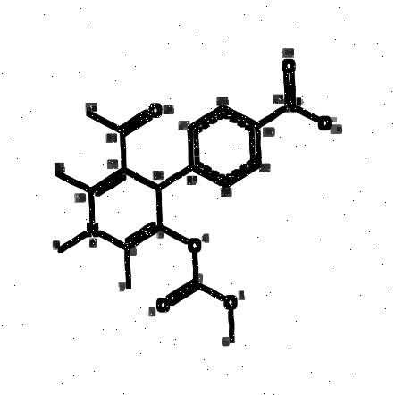 COC(=O)OC1=C(C)N(C)C(C)=C(C(C)=O)C1c1ccc([N+](=O)[O-])cc1